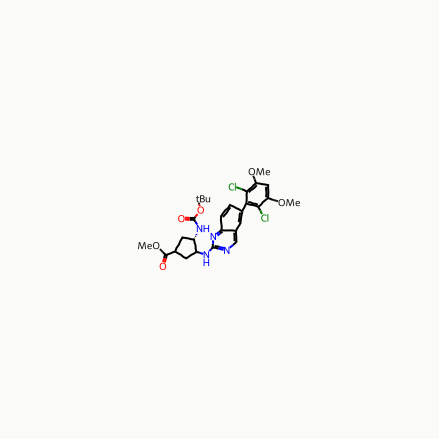 COC(=O)C1CC(Nc2ncc3cc(-c4c(Cl)c(OC)cc(OC)c4Cl)ccc3n2)[C@@H](NC(=O)OC(C)(C)C)C1